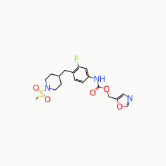 CS(=O)(=O)N1CCC(Cc2ccc(NC(=O)OCc3cnco3)cc2F)CC1